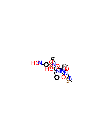 Cc1nc(CN2C(=O)CN([C@H](C(=O)N[C@@H](Cc3ccccc3)[C@@H](O)CN(CC3CCC3)S(=O)(=O)c3ccc(C=NO)cc3)C(C)C)C2=O)cs1